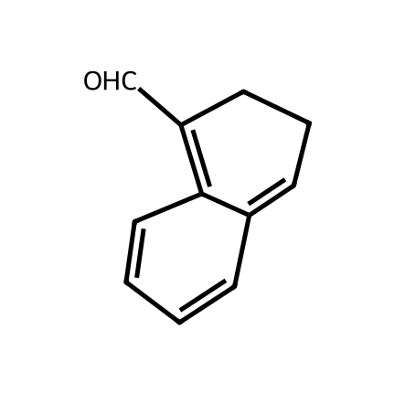 O=CC1=c2ccccc2=CCC1